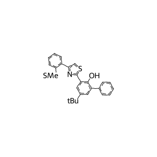 CSc1ccccc1-c1csc(-c2cc(C(C)(C)C)cc(-c3ccccc3)c2O)n1